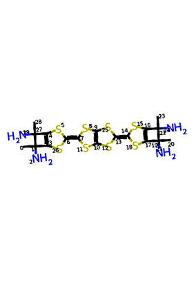 CC1(N)C2=C(SC(=C3SC4=C(S3)SC(=C3SC5=C(S3)C(C)(N)C5(C)N)S4)S2)C1(C)N